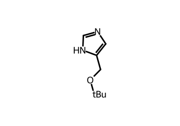 CC(C)(C)OCc1cnc[nH]1